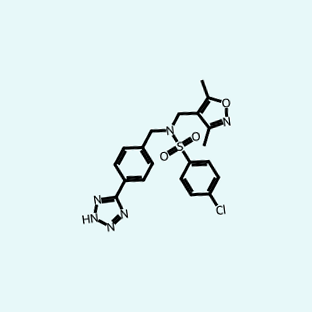 Cc1noc(C)c1CN(Cc1ccc(-c2nn[nH]n2)cc1)S(=O)(=O)c1ccc(Cl)cc1